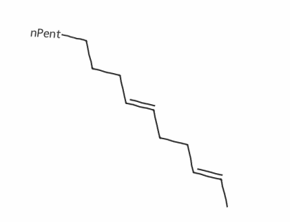 [CH2]CCCCCCCC=CCCC=CC